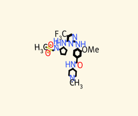 COc1cc(C(=O)NC2CCN(C)CC2)ccc1Nc1ncc(C(F)(F)F)c(N[C@@H]2CCC[C@H]2NCS(C)(=O)=O)n1